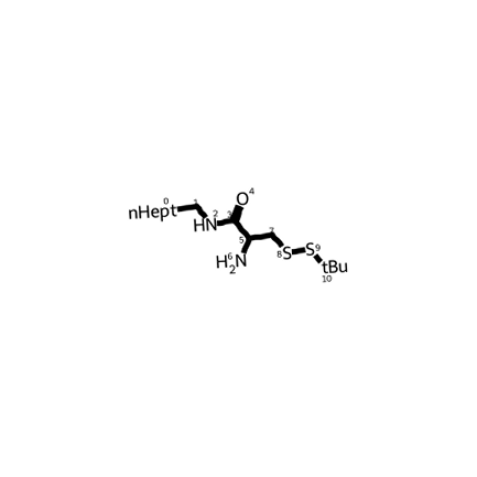 CCCCCCCCNC(=O)C(N)CSSC(C)(C)C